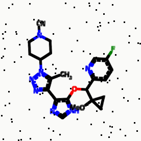 COC1(C(Oc2[nH]cnc2-c2nnn(C3CCN(C#N)CC3)c2C)c2ccc(F)cn2)CC1